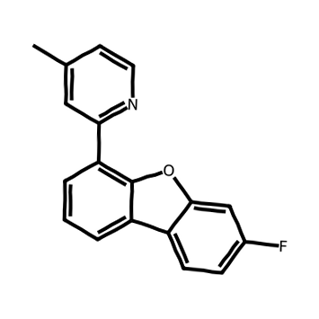 Cc1ccnc(-c2cccc3c2oc2cc(F)ccc23)c1